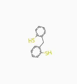 Sc1ccccc1Cc1ccccc1S